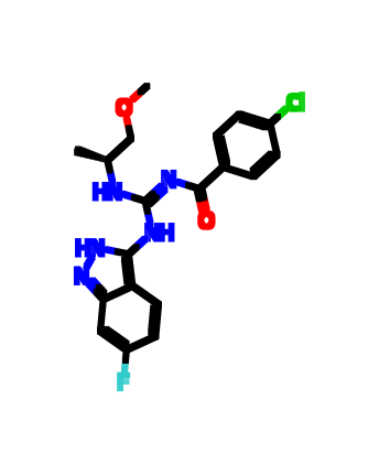 COC[C@H](C)N/C(=N/C(=O)c1ccc(Cl)cc1)Nc1[nH]nc2cc(F)ccc12